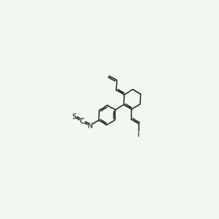 C=C/C=C1\CCCC(/C=C/I)=C1c1ccc(N=C=S)cc1